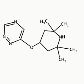 CC1(C)CC(Oc2cncnn2)CC(C)(C)N1